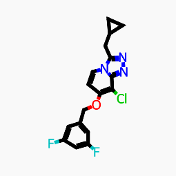 Fc1cc(F)cc(COc2ccn3c(CC4CC4)nnc3c2Cl)c1